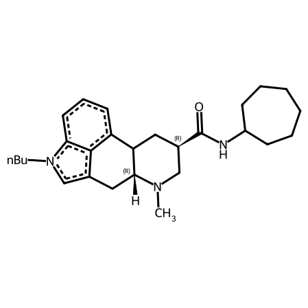 CCCCn1cc2c3c(cccc31)C1C[C@@H](C(=O)NC3CCCCCC3)CN(C)[C@@H]1C2